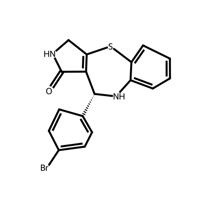 O=C1NCC2=C1[C@@H](c1ccc(Br)cc1)Nc1ccccc1S2